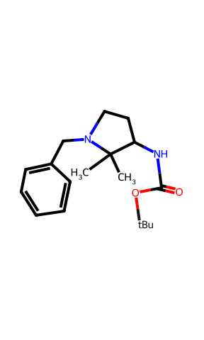 CC(C)(C)OC(=O)NC1CCN(Cc2ccccc2)C1(C)C